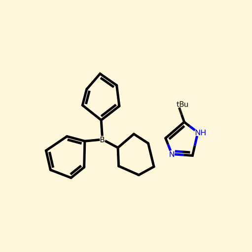 CC(C)(C)c1cnc[nH]1.c1ccc(B(c2ccccc2)C2CCCCC2)cc1